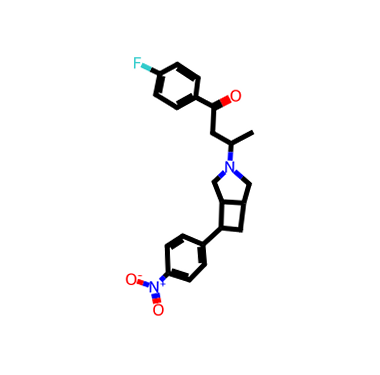 CC(CC(=O)c1ccc(F)cc1)N1CC2CC(c3ccc([N+](=O)[O-])cc3)C2C1